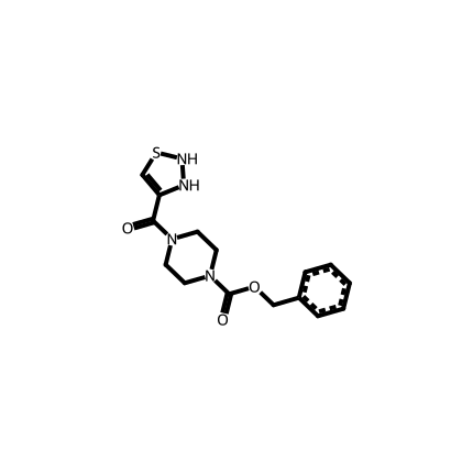 O=C(OCc1ccccc1)N1CCN(C(=O)C2=CSNN2)CC1